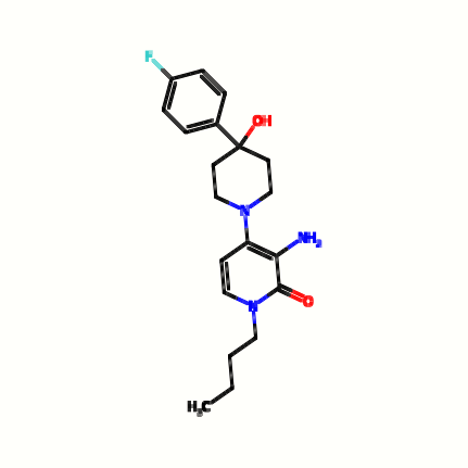 CCCCn1ccc(N2CCC(O)(c3ccc(F)cc3)CC2)c(N)c1=O